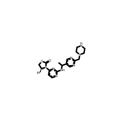 CC(Nc1nccc(N2C(=O)OC[C@@H]2C(C)C)n1)c1cnc(CN2CCNCC2)nc1